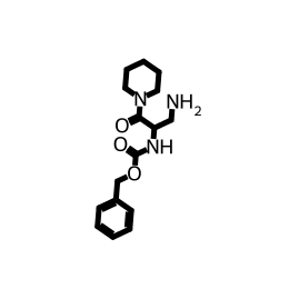 NCC(NC(=O)OCc1ccccc1)C(=O)N1CCCCC1